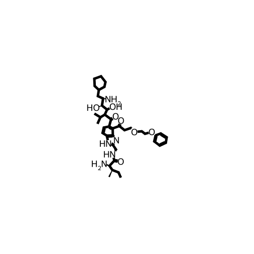 CC[C@@H](C)[C@@H](N)C(=O)NCc1nc2c(C(=O)CCOCCOc3ccccc3)c(C(=O)C(C(C)C)C(O)[C@H](O)[C@@H](N)CC3CCCCC3)ccc2[nH]1